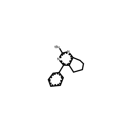 CC(C)(C)c1nc2c(c(-c3ccccc3)n1)CCCC2